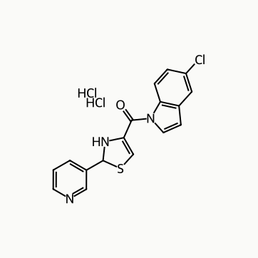 Cl.Cl.O=C(C1=CSC(c2cccnc2)N1)n1ccc2cc(Cl)ccc21